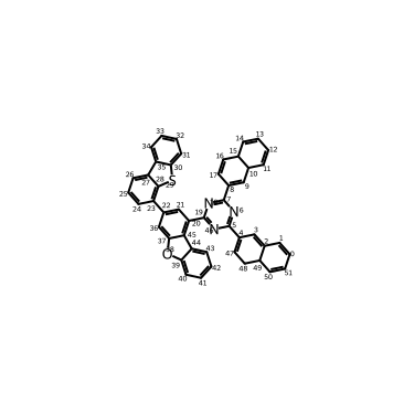 C1=CC2=CC(c3nc(C4=CC5C=CC=CC5C=C4)nc(-c4cc(-c5cccc6c5sc5ccccc56)cc5oc6ccccc6c45)n3)=CCC2C=C1